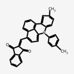 Cc1ccc(N2c3ccc(C)cc3-c3cccc4c(C=C5C(=O)c6ccccc6C5=O)ccc2c34)cc1